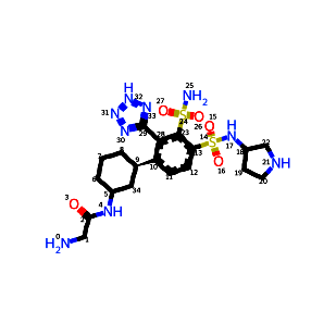 NCC(=O)NC1CCC[C@@H](c2ccc(S(=O)(=O)NC3CCNC3)c(S(N)(=O)=O)c2-c2nn[nH]n2)C1